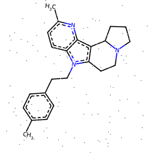 Cc1ccc(CCn2c3c(c4nc(C)ccc42)C2CCCN2CC3)cc1